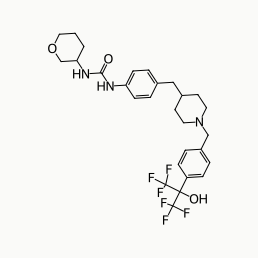 O=C(Nc1ccc(CC2CCN(Cc3ccc(C(O)(C(F)(F)F)C(F)(F)F)cc3)CC2)cc1)NC1CCCOC1